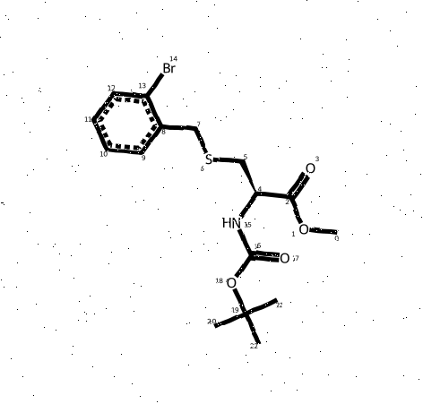 COC(=O)[C@H](CSCc1ccccc1Br)NC(=O)OC(C)(C)C